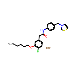 Br.CCCCCCCCCCCCCCOc1cc(CC(=O)Nc2ccc(CN3C=CSC3)cc2)ccc1Cl